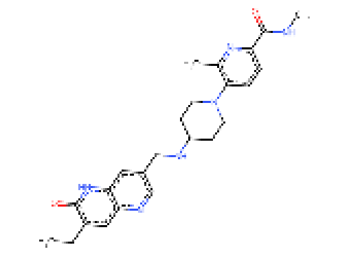 CCc1cc2ncc(CNC3CCN(c4ccc(C(=O)NC)nc4C)CC3)cc2[nH]c1=O